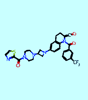 O=C=C1CCc2cc(N3CC(N4CCN(C(=O)c5nccs5)CC4)C3)ccc2N1C(=O)c1cccc(C(F)(F)F)c1